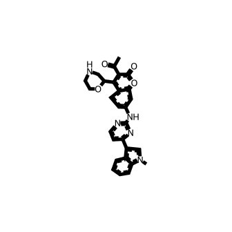 CC(=O)c1c(C2CNCCO2)c2ccc(Nc3nccc(-c4cn(C)c5ccccc45)n3)cc2oc1=O